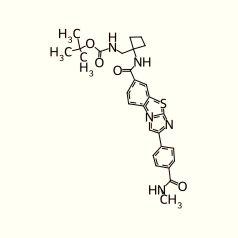 CNC(=O)c1ccc(-c2cn3c(n2)sc2cc(C(=O)NC4(CNC(=O)OC(C)(C)C)CCC4)ccc23)cc1